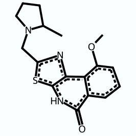 COc1cccc2c(=O)[nH]c3sc(CN4CCCC4C)nc3c12